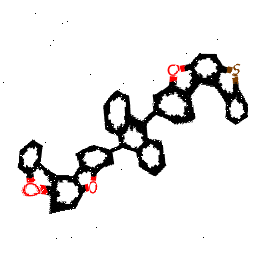 c1ccc2c(c1)oc1ccc3oc4cc(-c5c6ccccc6c(-c6ccc7c(c6)oc6ccc8sc9ccccc9c8c67)c6ccccc56)ccc4c3c12